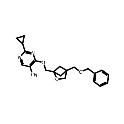 N#Cc1cnc(C2CC2)nc1OCC12CC(COCc3ccccc3)(CO1)C2